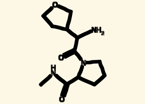 CNC(=O)C1CCCN1C(=O)C(N)C1CCOC1